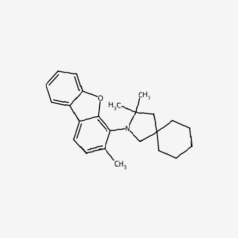 Cc1ccc2c(oc3ccccc32)c1N1CC2(CCCCC2)CC1(C)C